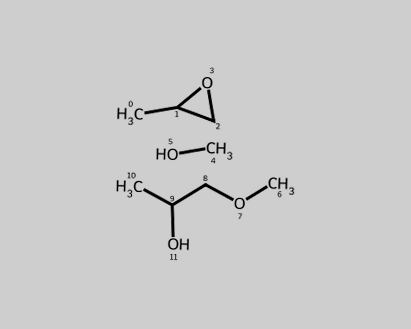 CC1CO1.CO.COCC(C)O